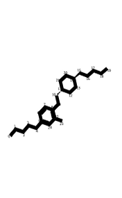 CCCCCc1ccc(CC[C@H]2CC[C@H](CCCCC)CC2)c(C)c1